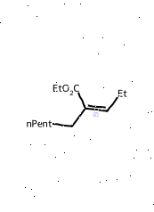 CC/C=C(/CCCCCC)C(=O)OCC